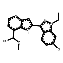 CCn1nc(-c2cc3nccc(C(O)OC)c3[nH]2)c2ccc(Cl)cc21